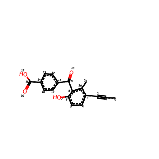 CC#Cc1ccc(O)c(C(=O)c2ccc(C(=O)O)cc2)c1C